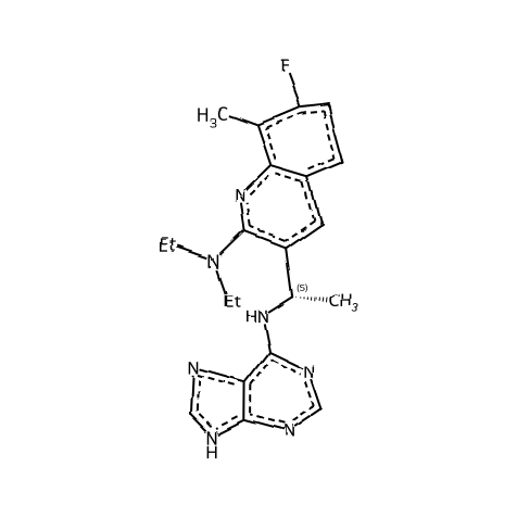 CCN(CC)c1nc2c(C)c(F)ccc2cc1[C@H](C)Nc1ncnc2[nH]cnc12